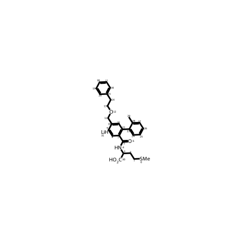 CSCCC(NC(=O)c1ccc(COCCc2ccccc2)cc1-c1ccccc1C)C(=O)O.[LiH]